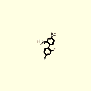 CC(=O)c1ccc(-c2ccc(F)cc2F)c(N)c1